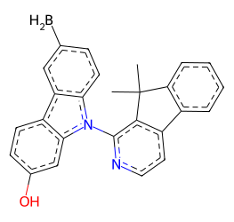 Bc1ccc2c(c1)c1ccc(O)cc1n2-c1nccc2c1C(C)(C)c1ccccc1-2